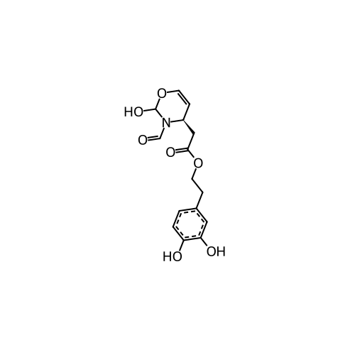 O=CN1C(O)OC=C[C@H]1CC(=O)OCCc1ccc(O)c(O)c1